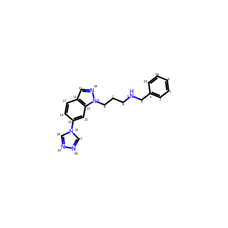 c1ccc(CNCCCn2ncc3ccc(-n4cnnc4)cc32)cc1